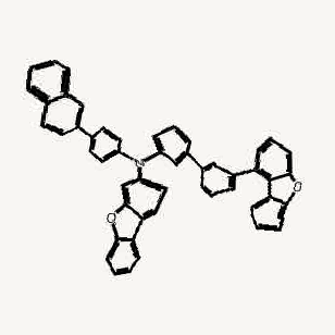 c1cc(-c2cccc(N(c3ccc(-c4ccc5ccccc5c4)cc3)c3ccc4c(c3)oc3ccccc34)c2)cc(-c2cccc3oc4ccccc4c23)c1